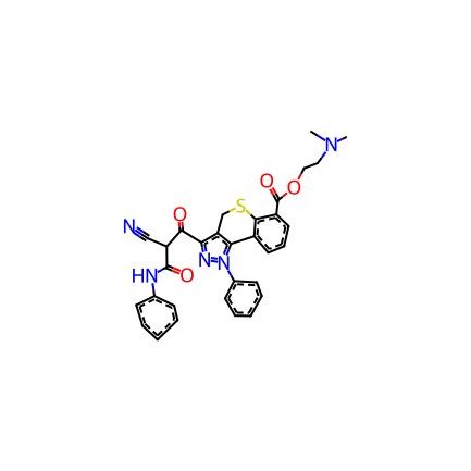 CN(C)CCOC(=O)c1cccc2c1SCc1c(C(=O)C(C#N)C(=O)Nc3ccccc3)nn(-c3ccccc3)c1-2